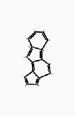 C1=Cc2c3c(ccc2=C1)=c1ccccc1=N3